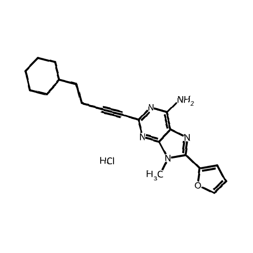 Cl.Cn1c(-c2ccco2)nc2c(N)nc(C#CCCC3CCCCC3)nc21